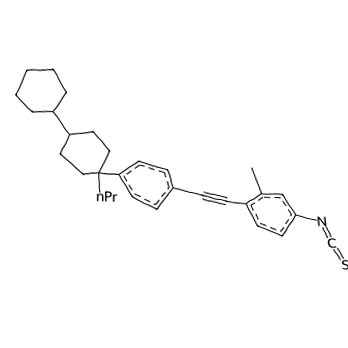 CCCC1(c2ccc(C#Cc3ccc(N=C=S)cc3C)cc2)CCC(C2CCCCC2)CC1